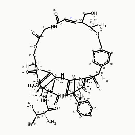 CC[C@H](C)[C@H]1NC(=O)[C@@H](NC(=O)[C@H](C)[C@H](O)C(C)C)[C@@H](C)OC(=O)[C@@H]2COC(=O)CNC(=O)/C=C/C(CO)[C@@H](C)Oc3ccc(cc3)[C@H](NC1=O)C(=O)N(C)[C@@H](Cc1ccccc1)C(=O)N[C@H]([C@@H](C)O)C(=O)N2